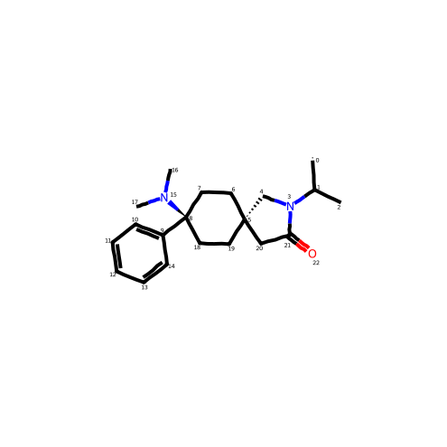 [CH2]C(C)N1C[C@]2(CC[C@](c3ccccc3)(N(C)C)CC2)CC1=O